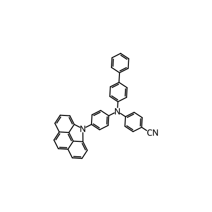 N#Cc1ccc(N(c2ccc(-c3ccccc3)cc2)c2ccc(-n3c4cccc5ccc6cccc3c6c54)cc2)cc1